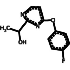 CC(O)c1nccc(Oc2ccc(F)cc2)n1